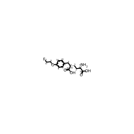 N[C@@H](CC[C@@H](Cc1ccc(OCCF)cc1)C(=O)O)C(=O)O